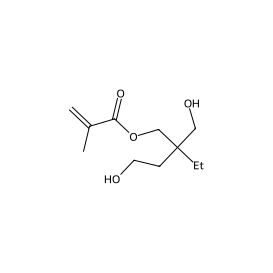 C=C(C)C(=O)OCC(CC)(CO)CCO